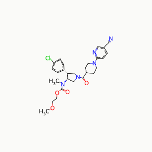 COCCOC(=O)N(C)[C@@H]1CN(C(=O)C2CCN(c3ccc(C#N)cn3)CC2)C[C@H]1c1ccc(Cl)cc1